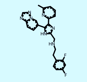 Cc1cccc(-c2nc(CNCCc3ccc(F)cc3F)[nH]c2-c2ccc3ncnn3c2)n1